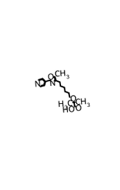 Cc1oc(-c2ccncc2)nc1CCCCCCOC(C)(C)C(=O)O